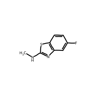 CNc1nc2cc(F)ccc2s1